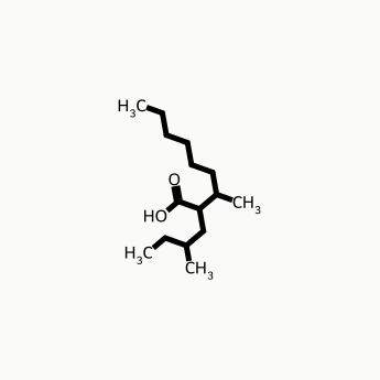 CCCCCCC(C)C(CC(C)CC)C(=O)O